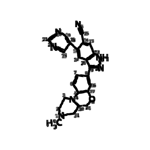 CN1CCN2c3ccc(-c4n[nH]c5cc(C#N)c(-c6cncnc6)cc45)cc3OCC2C1